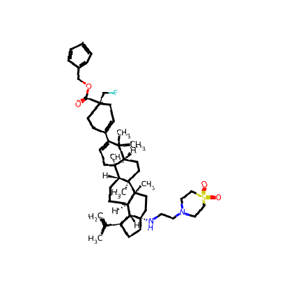 C=C(C)[C@@H]1CC[C@]2(NCCN3CCS(=O)(=O)CC3)CC[C@]3(C)[C@H](CC[C@@H]4[C@@]5(C)CC=C(C6=CC[C@@](CF)(C(=O)OCc7ccccc7)CC6)C(C)(C)[C@@H]5CC[C@]43C)[C@@H]12